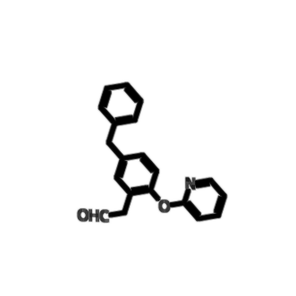 O=CCc1cc(Cc2ccccc2)ccc1Oc1ccccn1